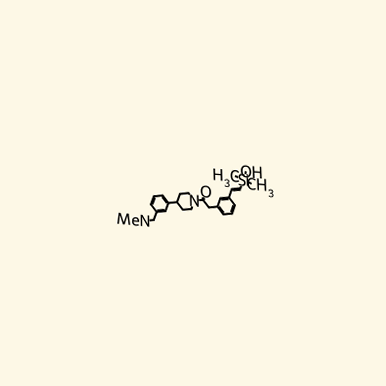 CNCc1cccc(C2CCN(C(=O)Cc3cccc(/C=C/[Si](C)(C)O)c3)CC2)c1